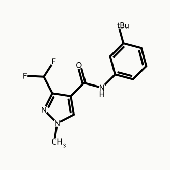 Cn1cc(C(=O)Nc2cccc(C(C)(C)C)c2)c(C(F)F)n1